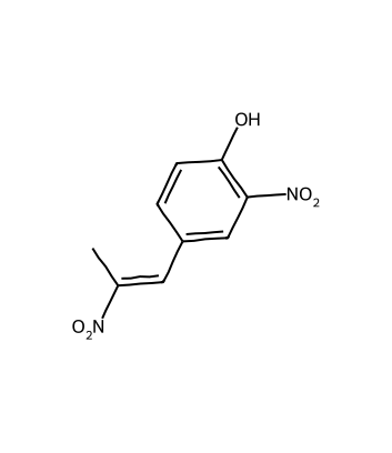 CC(=Cc1ccc(O)c([N+](=O)[O-])c1)[N+](=O)[O-]